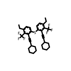 CCc1ccc(Sc2ccc(CC)c(C(F)(F)F)c2C#CC2CCCCC2)c(C#CC2CCCCC2)c1C(F)(F)F